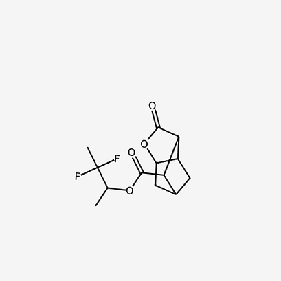 CC(OC(=O)C1C2CC3OC(=O)C1C3C2)C(C)(F)F